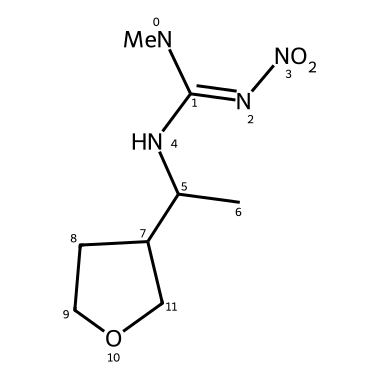 CNC(=N[N+](=O)[O-])NC(C)C1CCOC1